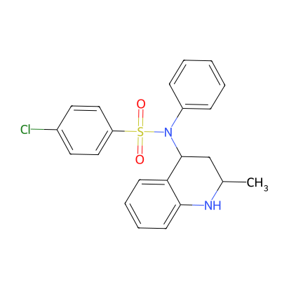 CC1CC(N(c2ccccc2)S(=O)(=O)c2ccc(Cl)cc2)c2ccccc2N1